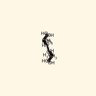 CC1(C)c2cc(C(=O)NCCSSCCNC(=O)c3ccc4c(c3)C(C)(C)C3(/C=N/c5ccc(N(CCO)CCO)cc5)OCCN43)ccc2N2CCOC21/C=N/C1=CCC(N(CCO)CCO)C=C1